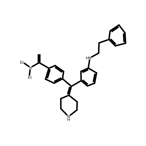 C=C(c1ccc(C(=C2CCNCC2)c2cccc(NCCc3ccccc3)c2)cc1)N(CC)CC